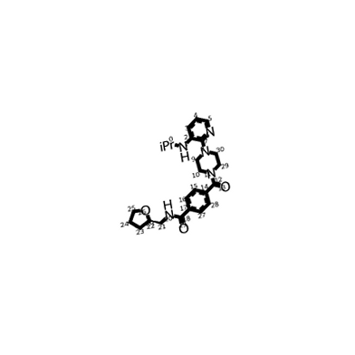 CC(C)Nc1cccnc1N1CCN(C(=O)c2ccc(C(=O)NC[C@H]3CCCO3)cc2)CC1